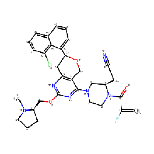 C=C(F)C(=O)N1CCN(c2nc(OC[C@H]3CCCN3C)nc3c2COC(c2cccc4cccc(Cl)c24)C3)C[C@H]1CC#N